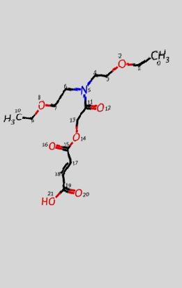 CCOCCN(CCOCC)C(=O)COC(=O)C=CC(=O)O